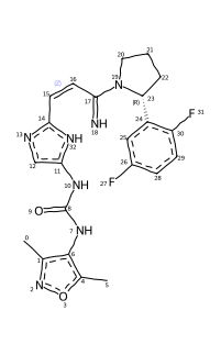 Cc1noc(C)c1NC(=O)Nc1cnc(/C=C\C(=N)N2CCC[C@@H]2c2cc(F)ccc2F)[nH]1